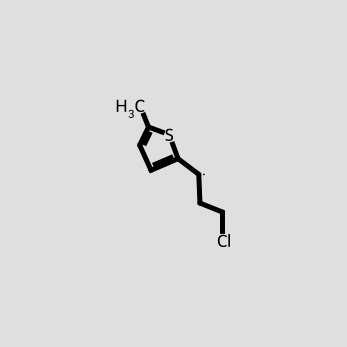 Cc1ccc([CH]CCCl)s1